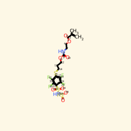 C=C(C)C(=O)OCCNC(=O)OCCCSc1c(F)c(F)c(S(=O)(=O)N[SH](=O)=O)c(F)c1F